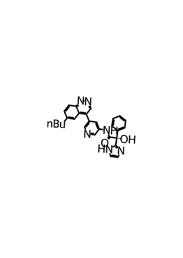 CCCCc1ccc2nncc(-c3cncc(NC(=O)[C@@](O)(c4ccccc4)c4ncc[nH]4)c3)c2c1